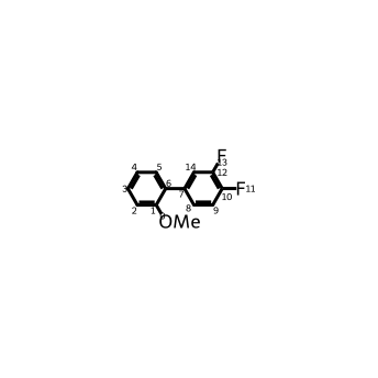 COc1ccccc1-c1ccc(F)c(F)c1